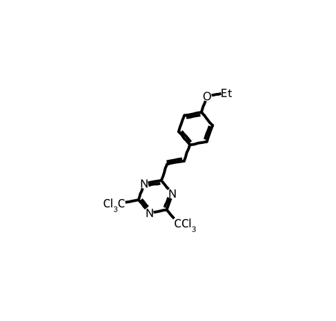 CCOc1ccc(C=Cc2nc(C(Cl)(Cl)Cl)nc(C(Cl)(Cl)Cl)n2)cc1